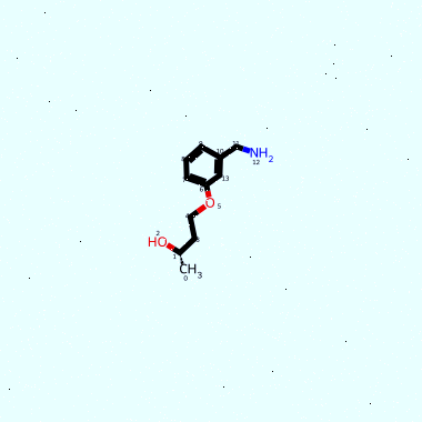 C[C@H](O)CCOc1cc[c]c(CN)c1